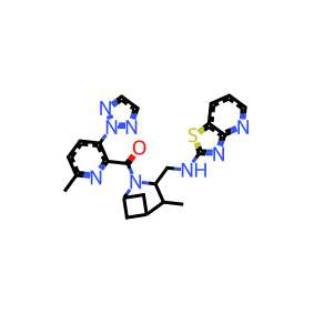 Cc1ccc(-n2nccn2)c(C(=O)N2C3CC(C3)C(C)C2CNc2nc3ncccc3s2)n1